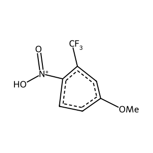 COc1ccc([N+](=O)O)c(C(F)(F)F)c1